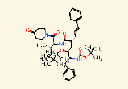 CC[C@H](C)[C@H](NC(=O)[C@H](CC=Cc1ccccc1)C[C@H](O[Si](C)(C)C(C)(C)C)[C@H](Cc1ccccc1)NC(=O)OC(C)(C)C)C(=O)N1CCC(=O)CC1